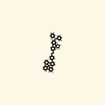 C(=C\c1ccc2c(c1)C1(CCCC1)c1cc(N(c3ccccc3)c3ccccc3)ccc1-2)/c1ccc(-c2cccc3c2-c2ccccc2C3(c2ccccc2)c2ccccc2)cc1